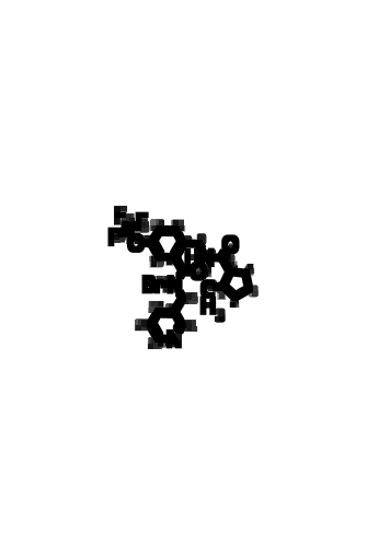 CC1CCCC1C(=O)NCc1ccc(OC(F)(F)F)cc1C(=O)N(Br)Cc1cccnc1